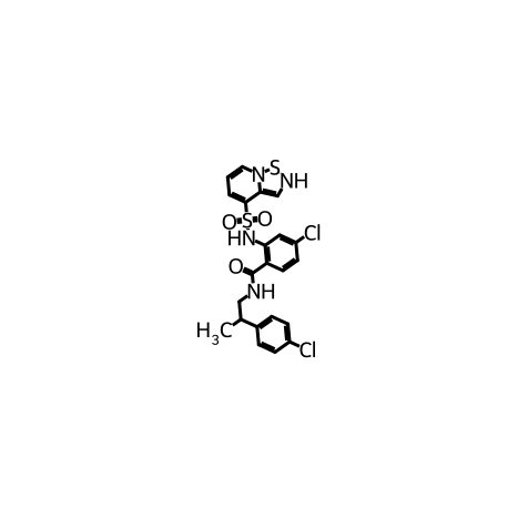 CC(CNC(=O)c1ccc(Cl)cc1NS(=O)(=O)C1=CC=CN2SNC=C12)c1ccc(Cl)cc1